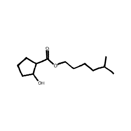 CC(C)CCCCOC(=O)C1CCCC1O